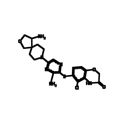 Nc1nc(N2CCC3(CC2)COCC3N)cnc1Sc1ccc2c(c1Cl)NC(=O)CO2